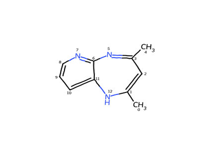 CC1=CC(C)=Nc2ncccc2N1